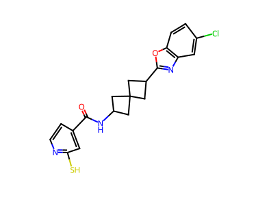 O=C(NC1CC2(C1)CC(c1nc3cc(Cl)ccc3o1)C2)c1ccnc(S)c1